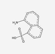 Nc1[c]ccc2cccc(S(=O)(=O)O)c12